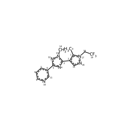 Cc1c(-c2nc(-c3cccnc3)nn2C)cnn1CC(F)(F)F